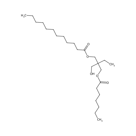 CCCCCCCCCCCC(=O)OCC(CC)(CO)COC(=O)CCCCCC